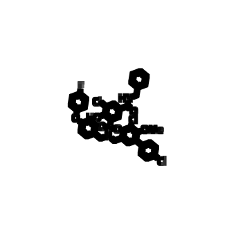 COc1c(Cl)cc(CN(Cc2ccc(Oc3ccc(F)cc3)cc2)S(=O)(=O)c2cc(C(=O)NCc3ccccc3)cc(Cl)c2O)cc1-c1ccc(Cl)cc1